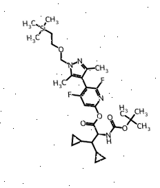 Cc1nn(COCC[Si](C)(C)C)c(C)c1-c1c(F)cc(OC(=O)[C@@H](NC(=O)OC(C)(C)C)C(C2CC2)C2CC2)nc1F